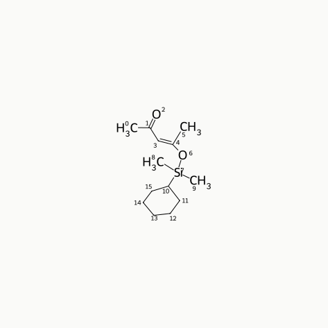 CC(=O)C=C(C)O[Si](C)(C)C1CCCCC1